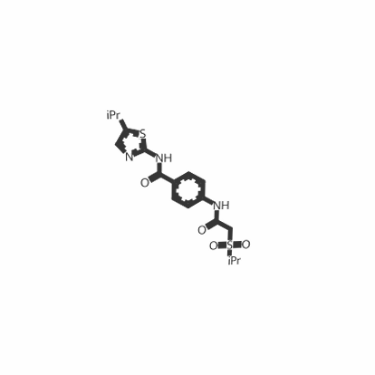 CC(C)c1cnc(NC(=O)c2ccc(NC(=O)CS(=O)(=O)C(C)C)cc2)s1